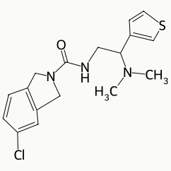 CN(C)C(CNC(=O)N1Cc2ccc(Cl)cc2C1)c1ccsc1